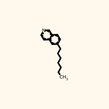 CCCCCCCc1ccc2cnccc2c1